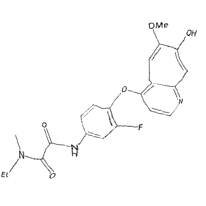 CCN(C)C(=O)C(=O)Nc1ccc(Oc2ccnc3cc(O)c(OC)cc23)c(F)c1